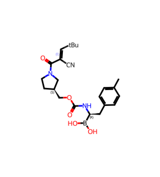 Cc1ccc(C[C@H](NC(=O)OC[C@H]2CCN(C(=O)/C(C#N)=C/C(C)(C)C)C2)B(O)O)cc1